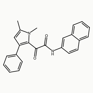 Cc1cc(-c2ccccc2)c(C(=O)C(=O)Nc2ccc3ccccc3c2)n1C